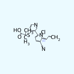 C=C/C=C1/C(C#N)=CC=C(c2cnccc2SC(C)(C)C(=O)O)N1Cl